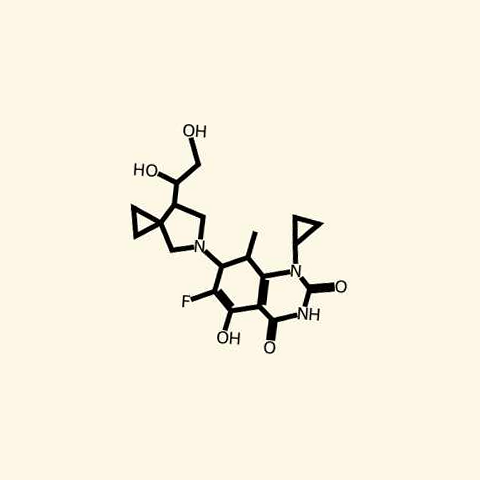 CC1c2c(c(=O)[nH]c(=O)n2C2CC2)C(O)=C(F)C1N1CC(C(O)CO)C2(CC2)C1